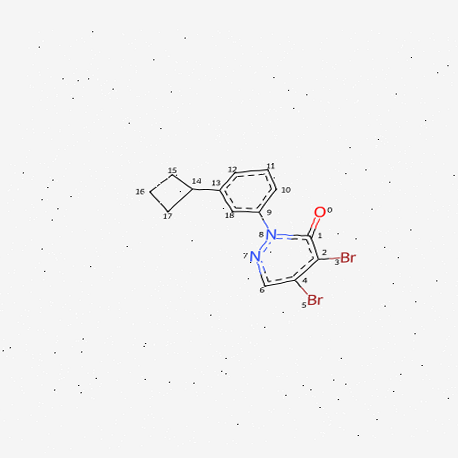 O=c1c(Br)c(Br)cnn1-c1cccc(C2CCC2)c1